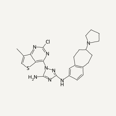 Cc1csc2c(-n3nc(Nc4ccc5c(c4)CCC(N4CCCC4)CC5)nc3N)nc(Cl)nc12